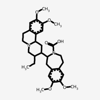 CCC1CN2CCc3cc(OC)c(OC)cc3C2CC1C1Cc2cc(OC)c(OC)cc2CCN1C(=O)O